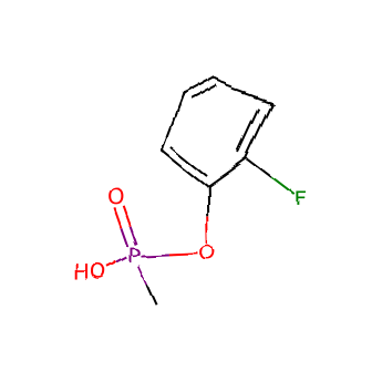 CP(=O)(O)Oc1ccccc1F